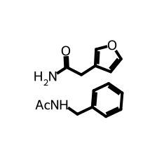 CC(=O)NCc1ccccc1.NC(=O)Cc1ccoc1